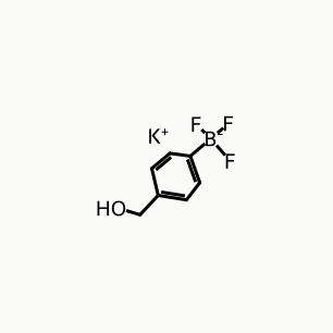 OCc1ccc([B-](F)(F)F)cc1.[K+]